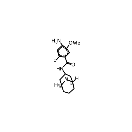 COc1cc(C(=O)NC2C[C@H]3CCC[C@@H](C2)N3C)c(F)cc1N